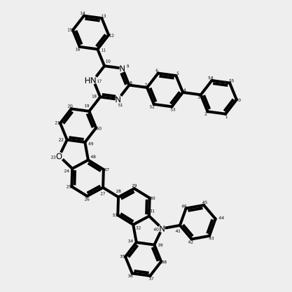 c1ccc(-c2ccc(C3=NC(c4ccccc4)NC(c4ccc5oc6ccc(-c7ccc8c(c7)c7ccccc7n8-c7ccccc7)cc6c5c4)=N3)cc2)cc1